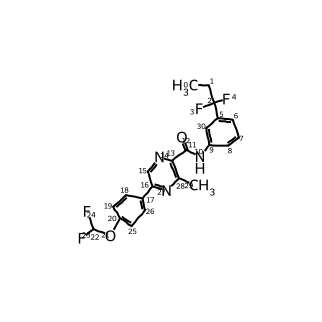 CCC(F)(F)c1cccc(NC(=O)c2ncc(-c3ccc(OC(F)F)cc3)nc2C)c1